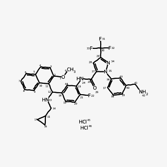 COc1ccc2ccccc2c1C(NCC1CC1)c1ccc(F)c(NC(=O)c2cc(C(F)(F)F)nn2-c2cccc(CN)c2)c1.Cl.Cl